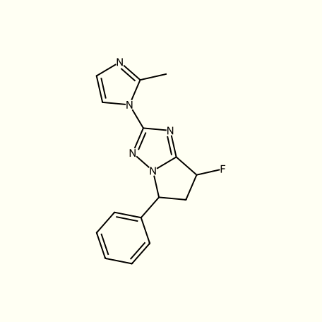 Cc1nccn1-c1nc2n(n1)C(c1ccccc1)CC2F